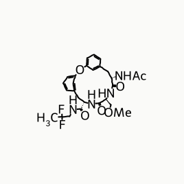 COC[C@@H]1NC(=O)[C@@H](NC(C)=O)Cc2cccc(c2)Oc2cccc(c2)C[C@@H](C(=O)NCC(C)(F)F)NC1=O